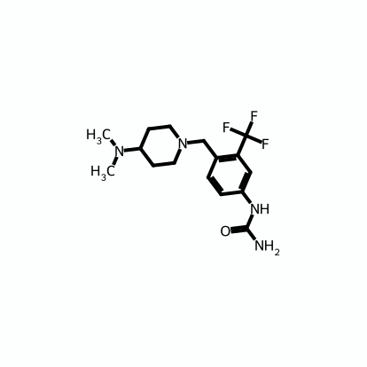 CN(C)C1CCN(Cc2ccc(NC(N)=O)cc2C(F)(F)F)CC1